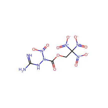 N=C(N)NN(C(=O)OCC([N+](=O)[O-])([N+](=O)[O-])[N+](=O)[O-])[N+](=O)[O-]